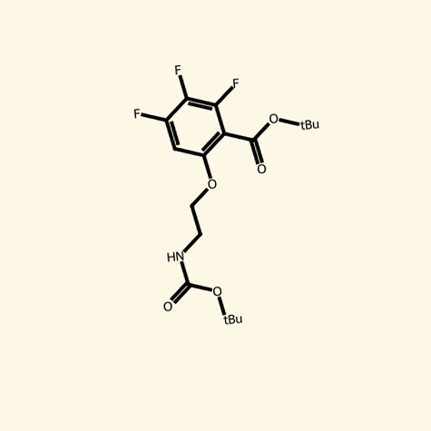 CC(C)(C)OC(=O)NCCOc1cc(F)c(F)c(F)c1C(=O)OC(C)(C)C